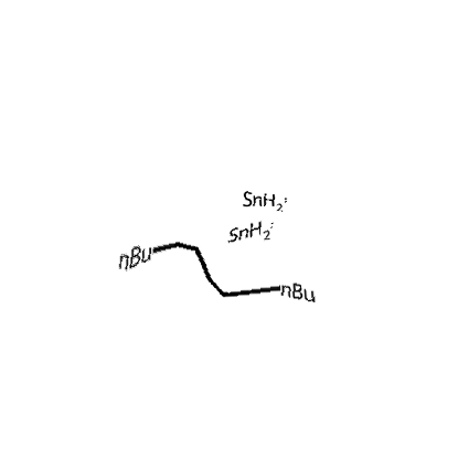 [CH2]CCCCCCCCC.[SnH2].[SnH2]